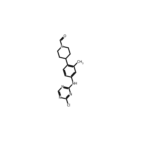 Cc1cc(Nc2ncnc(Cl)n2)ccc1C1CCN(C=O)CC1